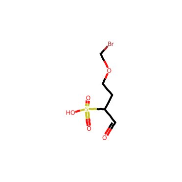 O=CC(CCOCBr)S(=O)(=O)O